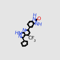 O=c1[nH]c2ccc(-c3cc(C(F)(F)F)c4c(-c5ccccc5)n[nH]c4n3)cc2[nH]1